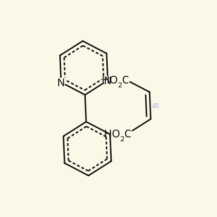 O=C(O)/C=C\C(=O)O.c1ccc(-c2ncccn2)cc1